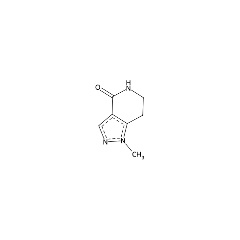 Cn1ncc2c1CCNC2=O